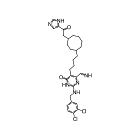 N=Cc1nc(NCc2ccc(Cl)c(Cl)c2)[nH]c(=O)c1CCCCC1CCCCC(CC(=O)c2cnc[nH]2)CC1